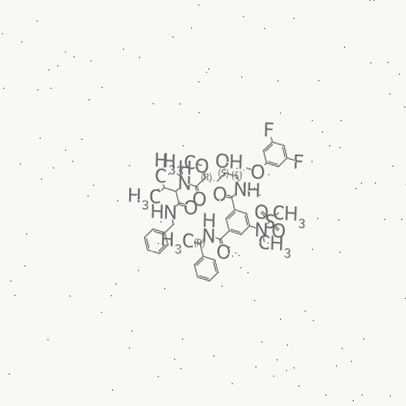 CO[C@H](C[C@H](O)[C@H](COc1cc(F)cc(F)c1)NC(=O)c1cc(C(=O)N[C@H](C)c2ccccc2)cc(N(C)S(C)(=O)=O)c1)C(=O)NC(C(=O)NCc1ccccc1)C(C)C